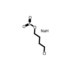 O=[SH](=O)OCCCCCl.[NaH]